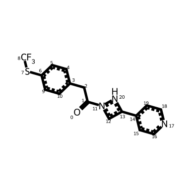 O=C(Cc1ccc(SC(F)(F)F)cc1)n1cc(-c2ccncc2)[nH]1